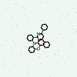 c1ccc(-c2cc(-c3ccccc3)nc(-c3ccccc3N3c4ccccc4Oc4ccccc43)n2)cc1